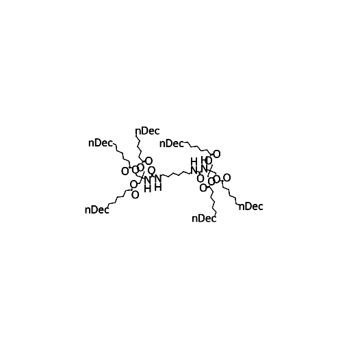 CCCCCCCCCCCCCCCC(=O)OCC(COC(=O)CCCCCCCCCCCCCCC)(COC(=O)CCCCCCCCCCCCCCC)NC(=O)NCCCCCCNC(=O)NC(COC(=O)CCCCCCCCCCCCCCC)(COC(=O)CCCCCCCCCCCCCCC)COC(=O)CCCCCCCCCCCCCCC